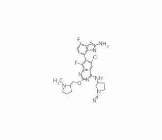 CN1CCCC1COc1nc(NC2CCN(C#N)C2)c2cc(Cl)c(-c3ccc(F)c4sc(N)nc34)c(F)c2n1